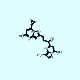 Cc1cnn2c(C(C)(C)C)cc(C(C)CCc3cc4nc(C(C)(C)C)cc(C5CC5)n4n3)nc12